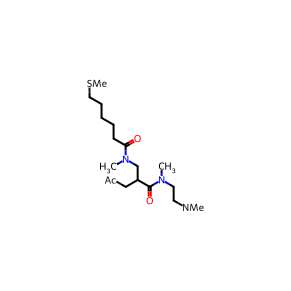 CNCCN(C)C(=O)C(CC(C)=O)CN(C)C(=O)CCCCCSC